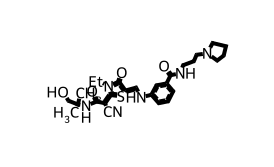 CCn1c(=C(C#N)C(=O)NC(C)(C)CO)sc(=CNc2cccc(C(=O)NCCCN3CCCC3)c2)c1=O